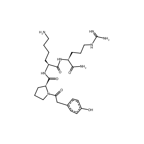 N=C(N)NCCC[C@H](NC(=O)[C@H](CCCCN)NC(=O)[C@@H]1CCCN1C(=O)Cc1ccc(O)cc1)C(N)=O